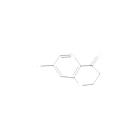 O=C1CCOc2cc(Cl)cnc21